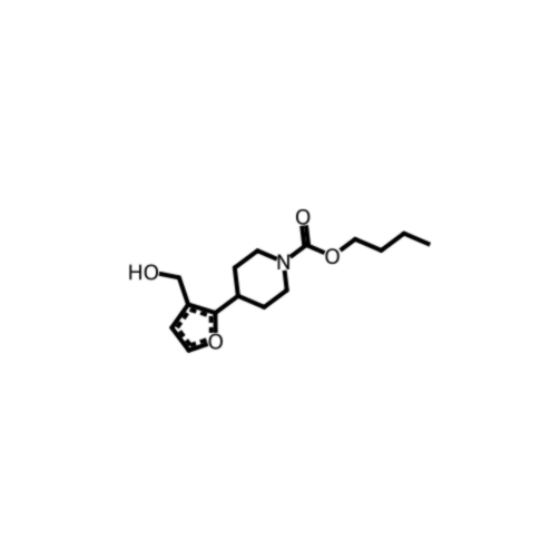 CCCCOC(=O)N1CCC(c2occc2CO)CC1